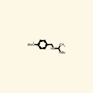 CCCCC(C)NCc1ccc(OC)cc1